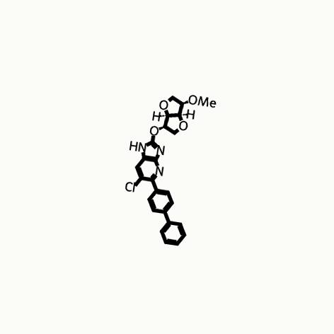 CO[C@@H]1CO[C@H]2[C@@H]1OC[C@H]2Oc1nc2nc(-c3ccc(-c4ccccc4)cc3)c(Cl)cc2[nH]1